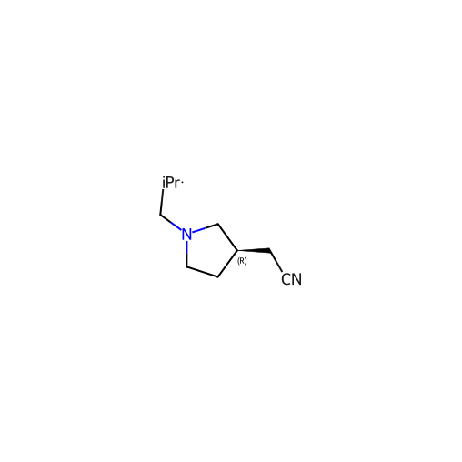 C[C](C)CN1CC[C@H](CC#N)C1